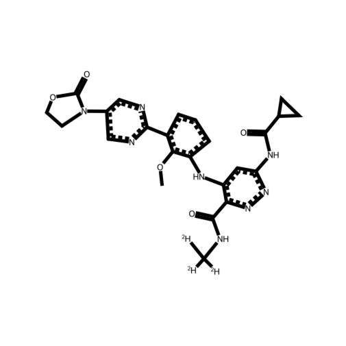 [2H]C([2H])([2H])NC(=O)c1nnc(NC(=O)C2CC2)cc1Nc1cccc(-c2ncc(N3CCOC3=O)cn2)c1OC